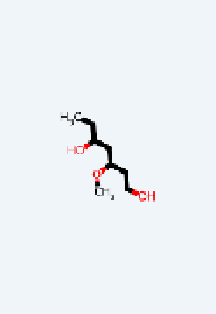 CCC(O)CC(CCO)OC